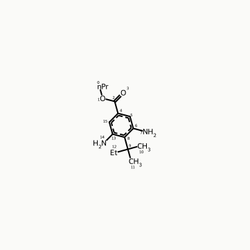 CCCOC(=O)c1cc(N)c(C(C)(C)CC)c(N)c1